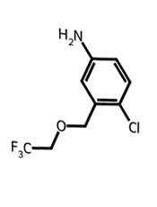 Nc1ccc(Cl)c(COCC(F)(F)F)c1